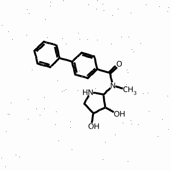 CN(C(=O)c1ccc(-c2ccccc2)cc1)C1NCC(O)C1O